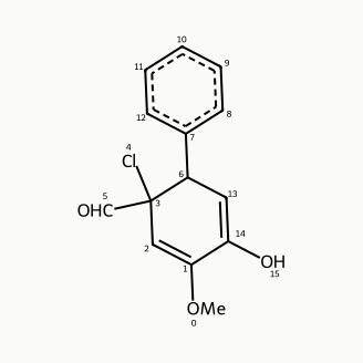 COC1=CC(Cl)(C=O)C(c2ccccc2)C=C1O